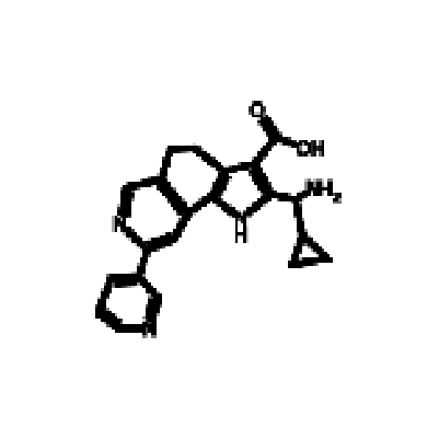 NC(c1[nH]c2c(c1C(=O)O)CCc1cnc(-c3cccnc3)cc1-2)C1CC1